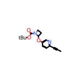 CC#Cc1ccc(OC2CCN2C(=O)OC(C)(C)C)cn1